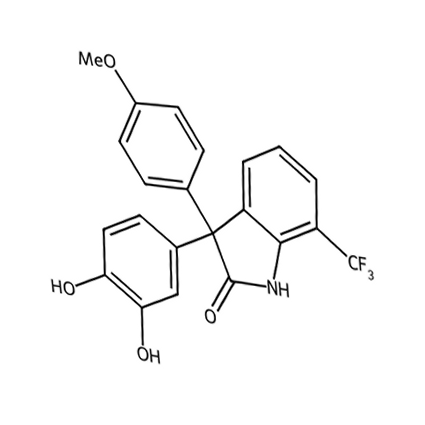 COc1ccc(C2(c3ccc(O)c(O)c3)C(=O)Nc3c(C(F)(F)F)cccc32)cc1